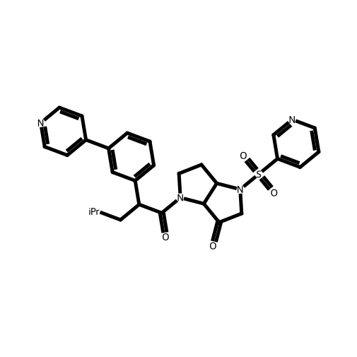 CC(C)CC(C(=O)N1CCC2C1C(=O)CN2S(=O)(=O)c1cccnc1)c1cccc(-c2ccncc2)c1